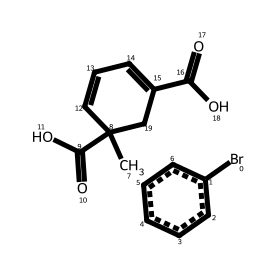 Brc1ccccc1.CC1(C(=O)O)C=CC=C(C(=O)O)C1